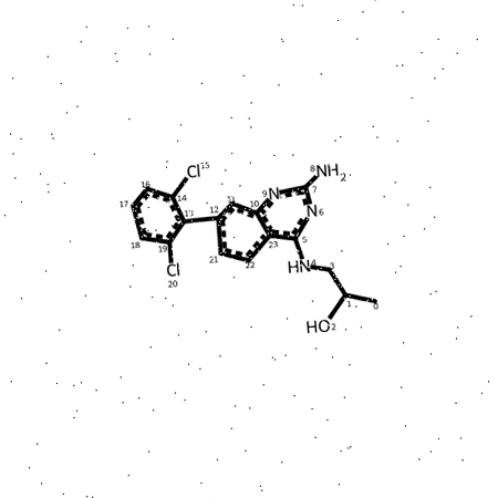 CC(O)CNc1nc(N)nc2cc(-c3c(Cl)cccc3Cl)ccc12